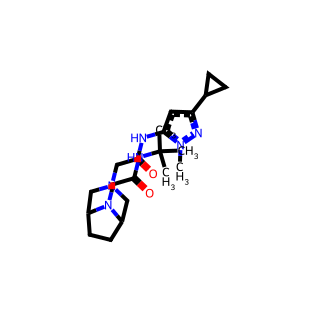 Cn1nc(C2CC2)cc1NC(=O)CN1CC2CCC(C1)N2CC(=O)NC(C)(C)C